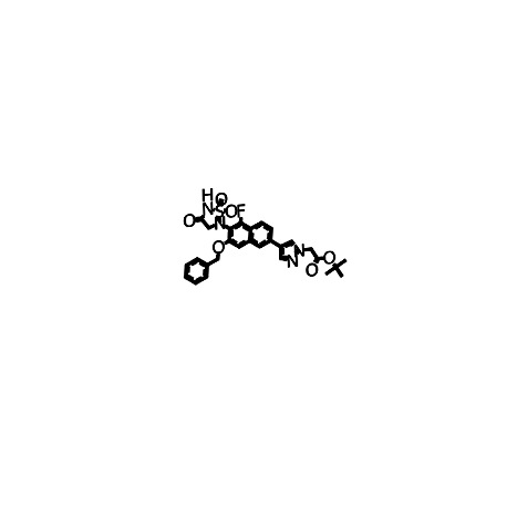 CC(C)(C)OC(=O)Cn1cc(-c2ccc3c(F)c(N4CC(=O)NS4(=O)=O)c(OCc4ccccc4)cc3c2)cn1